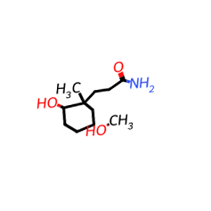 CC1(CCC(N)=O)CCCCC1O.CO